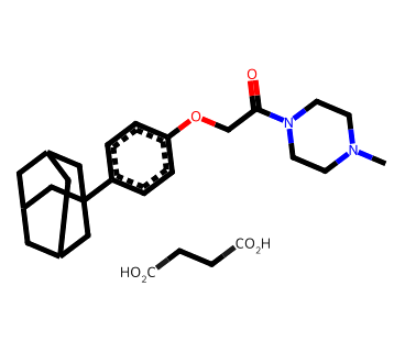 CN1CCN(C(=O)COc2ccc(C34CC5CC(CC(C5)C3)C4)cc2)CC1.O=C(O)CCC(=O)O